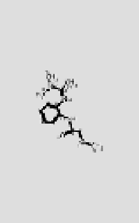 COCC(=O)Nc1ccccc1N=C(C)N(C)C